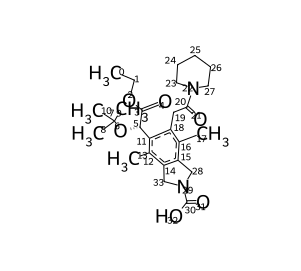 CCOC(=O)[C@@H](OC(C)(C)C)c1c(C)c2c(c(C)c1CC(=O)N1CCCCC1)CN(C(=O)O)C2